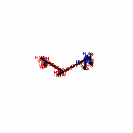 CC(C)[C@H](NC(=O)[C@H](CCCCNC(=O)CCOCCOCCOCCOCCOCCOCCN(C[C@H](O)[C@@H](O)[C@H](O)[C@H](O)CO)C(=O)CCOCCOCCOCCOCCOCCOCCN(C[C@H](O)[C@@H](O)[C@H](O)[C@H](O)CO)C[C@H](O)[C@@H](O)[C@H](O)[C@H](O)CO)NC(=O)CCCCCN1C(=O)C=CC1=O)C(=O)N[C@@H](CCCNC(N)=O)C(=O)Nc1ccc(CO)cc1